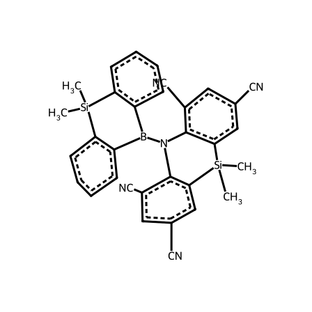 C[Si]1(C)c2ccccc2B(N2c3c(C#N)cc(C#N)cc3[Si](C)(C)c3cc(C#N)cc(C#N)c32)c2ccccc21